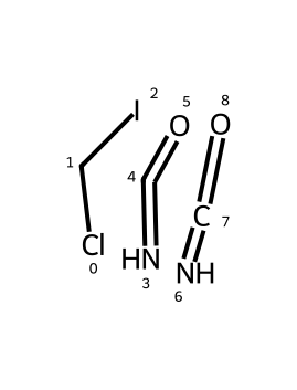 ClCI.N=C=O.N=C=O